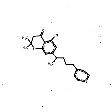 CC(CCCc1ccncc1)c1cc(O)c2c(c1)OC(C)(C)CC2=O